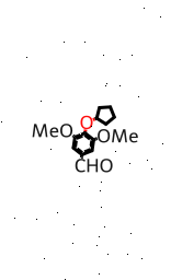 COc1cc(C=O)cc(OC)c1OC1CCCC1